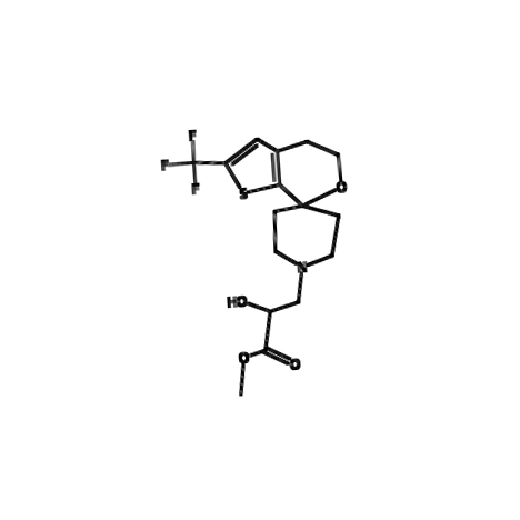 COC(=O)C(O)CN1CCC2(CC1)OCCc1cc(C(F)(F)F)sc12